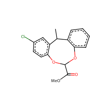 COC(=O)C1Oc2ccccc2C(C)c2cc(Cl)ccc2O1